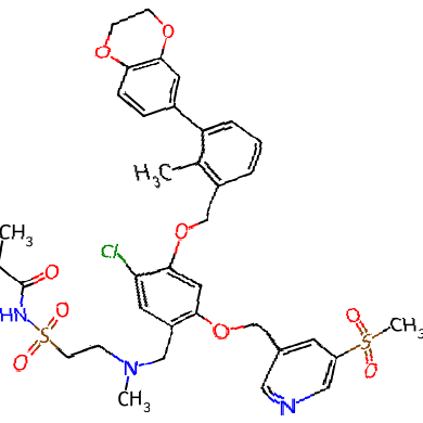 CCC(=O)NS(=O)(=O)CCN(C)Cc1cc(Cl)c(OCc2cccc(-c3ccc4c(c3)OCCO4)c2C)cc1OCc1cncc(S(C)(=O)=O)c1